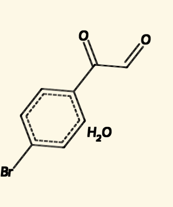 O.O=CC(=O)c1ccc(Br)cc1